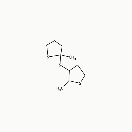 CC1SCCC1SC1(C)CCCS1